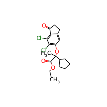 CCOC(=O)C(C)(Oc1cc2c(c(Cl)c1Cl)C(=O)CC2)C1CCCC1